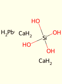 O[Si](O)(O)O.[CaH2].[CaH2].[PbH2]